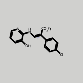 CCOC(=O)/C(=C\Nc1ncccc1O)c1ccc(Cl)cc1